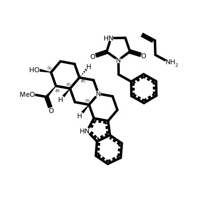 C=CCN.COC(=O)[C@@H]1[C@H]2C[C@H]3c4[nH]c5ccccc5c4CCN3C[C@@H]2CC[C@@H]1O.O=C1CNC(=O)N1Cc1ccccc1